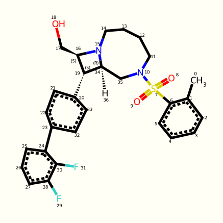 Cc1ccccc1S(=O)(=O)N1CCCCN2[C@H](CO)[C@@H](c3ccc(-c4cccc(F)c4F)cc3)[C@@H]2C1